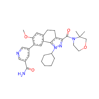 COc1cc2c(cc1-c1cncc(C(N)=O)c1)-c1c(c(C(=O)N3CCOCC3(C)C)nn1C1CCCCC1)CC2